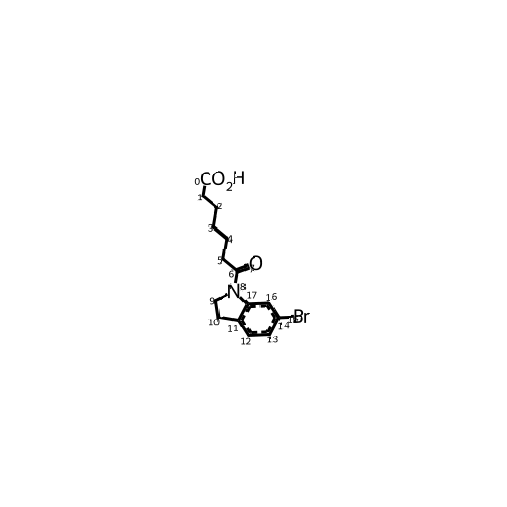 O=C(O)CCCCCC(=O)N1CCc2ccc(Br)cc21